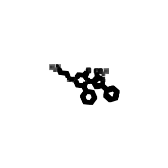 NCCSN1CC(=O)N(c2cc(-c3ccccc3)sc2C(=O)O)C(C2CCCCC2)C1